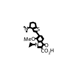 COc1c(-c2cc3c(s2)CCCC3N(C)C)ccc2c(=O)c(C(=O)O)cn(C3CC3)c12